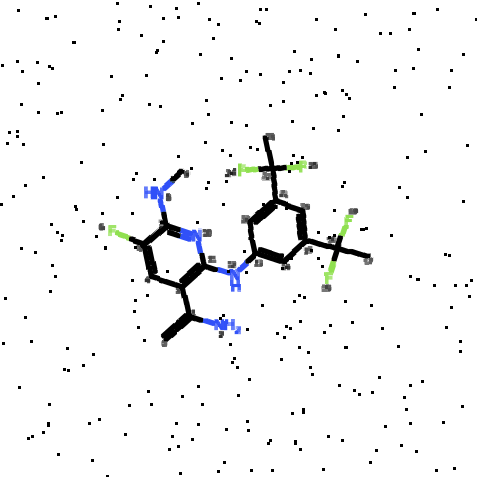 C=C(N)c1cc(F)c(NC)nc1Nc1cc(C(C)(F)F)cc(C(C)(F)F)c1